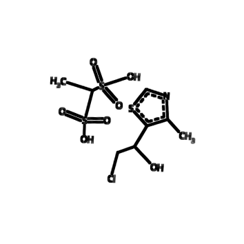 CC(S(=O)(=O)O)S(=O)(=O)O.Cc1ncsc1C(O)CCl